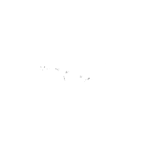 CO[C@H]1CC[C@@]2(C)C(=CCC3C2CC[C@@]2(C)C3CC[C@@H]2[C@H](C)CCCC(C)C)C1